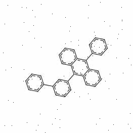 c1ccc(-c2cccc(-c3c4ccccc4c(-c4ccccc4)c4ccccc34)c2)cc1